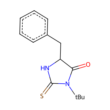 CC(C)(C)N1C(=O)C(Cc2ccccc2)NC1=S